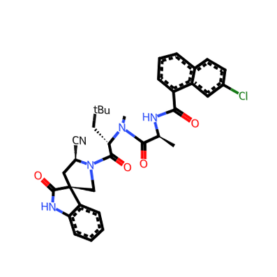 C[C@H](NC(=O)c1cccc2ccc(Cl)cc12)C(=O)N(C)[C@@H](CC(C)(C)C)C(=O)N1C[C@]2(C[C@H]1C#N)C(=O)Nc1ccccc12